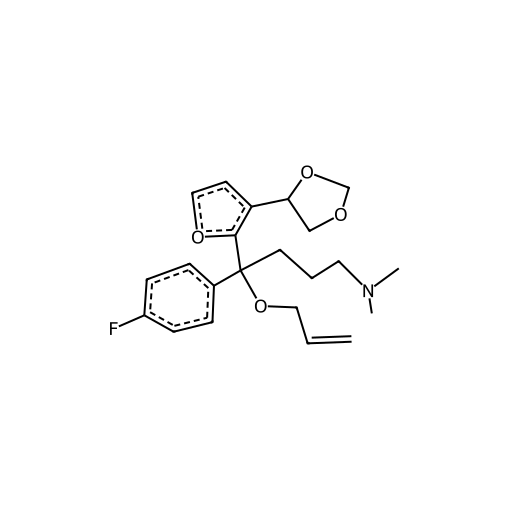 C=CCOC(CCCN(C)C)(c1ccc(F)cc1)c1occc1C1COCO1